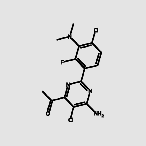 CC(=O)c1nc(-c2ccc(Cl)c(N(C)C)c2F)nc(N)c1Cl